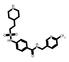 O=C(NCc1ccc(C(F)(F)F)nc1)c1ccc(NS(=O)(=O)CCC2CCNCC2)cc1